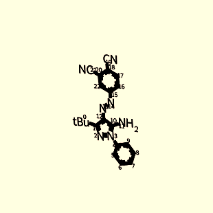 CC(C)(C)c1nn(-c2ccccc2)c(N)c1N=Nc1ccc(C#N)c(C#N)c1